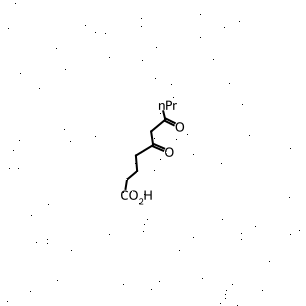 CCCC(=O)CC(=O)CCCC(=O)O